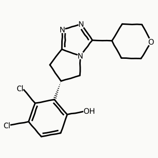 Oc1ccc(Cl)c(Cl)c1[C@@H]1Cc2nnc(C3CCOCC3)n2C1